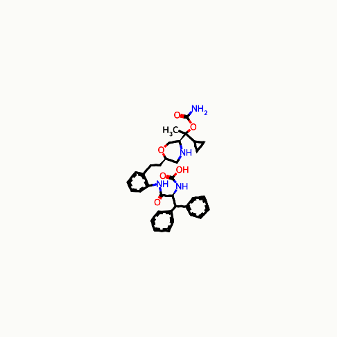 CC(OC(N)=O)(C1CC1)[C@@H]1CO[C@H](CCc2ccccc2NC(=O)[C@@H](NC(=O)O)C(c2ccccc2)c2ccccc2)CN1